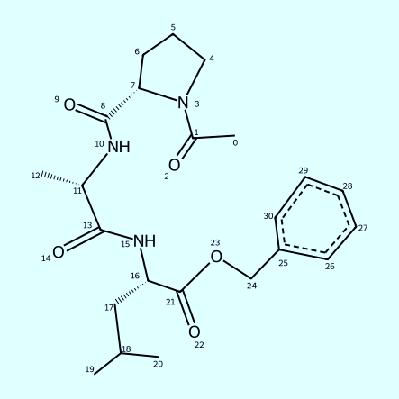 CC(=O)N1CCC[C@H]1C(=O)N[C@@H](C)C(=O)N[C@@H](CC(C)C)C(=O)OCc1ccccc1